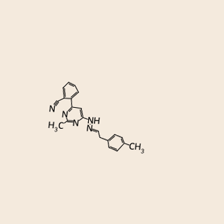 Cc1ccc(CC=NNc2cc(-c3ccccc3C#N)nc(C)n2)cc1